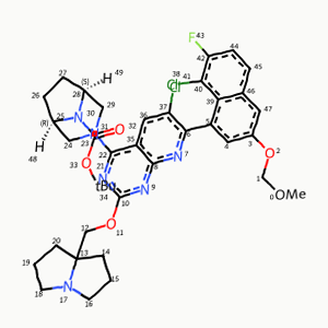 COCOc1cc(-c2nc3nc(OCC45CCCN4CCC5)nc(N4C[C@H]5CC[C@@H](C4)N5C(=O)OC(C)(C)C)c3cc2Cl)c2c(Cl)c(F)ccc2c1